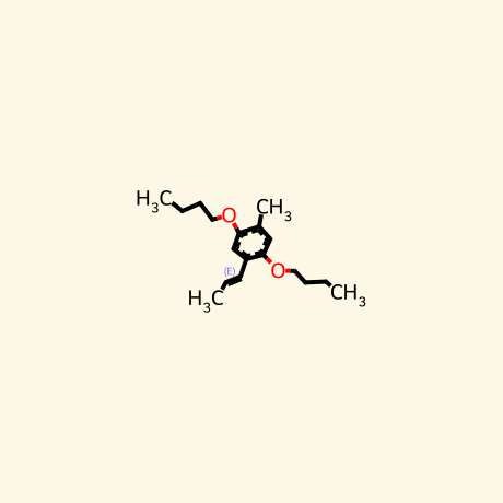 C/C=C/c1cc(OCCCC)c(C)cc1OCCCC